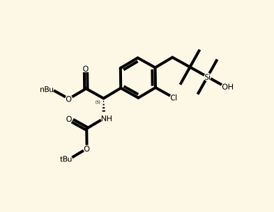 CCCCOC(=O)[C@@H](NC(=O)OC(C)(C)C)c1ccc(CC(C)(C)[Si](C)(C)O)c(Cl)c1